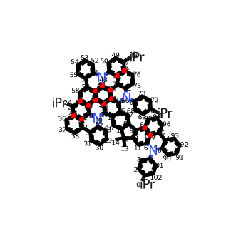 CC(C)c1ccc(N(c2ccc3c(c2)C(C)(C)c2cc4c(N(c5ccc(C(C)C)cc5)c5ccccc5-c5ccccc5)c5ccc(N(c6ccc(C(C)C)cc6)c6ccccc6-c6ccccc6)cc5c(N(c5ccc(C(C)C)cc5)c5ccccc5-c5ccccc5)c4cc2-3)c2ccccc2-c2ccccc2)cc1